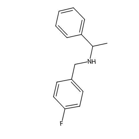 CC(NCc1ccc(F)cc1)c1ccccc1